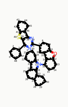 c1ccc(-c2nc(-c3ccc4oc5cccc(-n6c7ccccc7c7ccc8ccccc8c76)c5c4c3)nc3c2sc2ccccc23)cc1